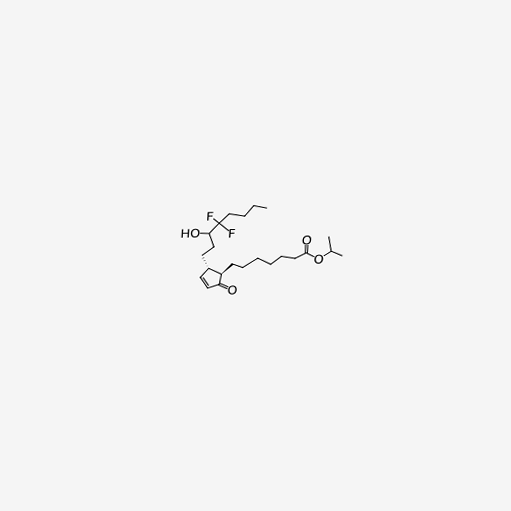 CCCCC(F)(F)C(O)CC[C@H]1C=CC(=O)[C@@H]1CCCCCCC(=O)OC(C)C